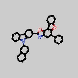 c1ccc(-c2cc3nc(-c4ccc5c6ccccc6n(-c6ccc7ccccc7c6)c5c4)oc3c3c2oc2ccccc23)cc1